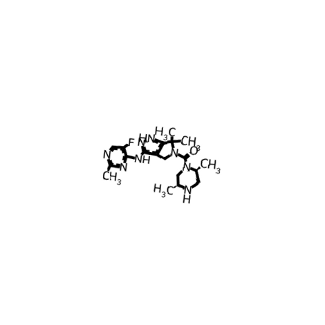 Cc1ncc(F)c(Nc2n[nH]c3c2CN(C(=O)N2C[C@@H](C)NC[C@@H]2C)C3(C)C)n1